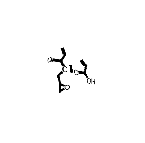 C=C.C=CC(=O)O.C=CC(=O)OCC1CO1